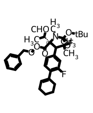 CC(C=O)[C@@](C(=O)OOCc1ccccc1)(C(c1ccc(C2=CCCCC2)c(F)c1)C(C)(C)F)N(C)C(=O)OC(C)(C)C